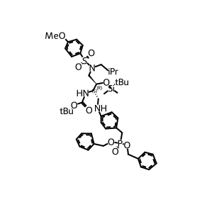 COc1ccc(S(=O)(=O)N(CC(C)C)C[C@@H](O[Si](C)(C)C(C)(C)C)[C@H](CNc2ccc(CP(=O)(OCc3ccccc3)OCc3ccccc3)cc2)NC(=O)OC(C)(C)C)cc1